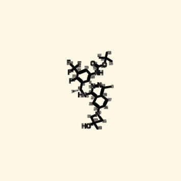 Cc1nnc(N[C@H](C)c2cc(NC(=O)OC(C)(C)C)cc(C(F)(F)F)c2F)c2cc(N3CC(C)(O)C3)ccc12